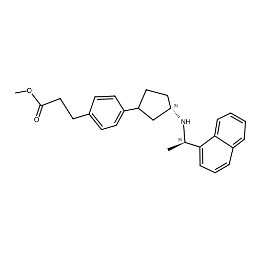 COC(=O)CCc1ccc(C2CC[C@H](N[C@H](C)c3cccc4ccccc34)C2)cc1